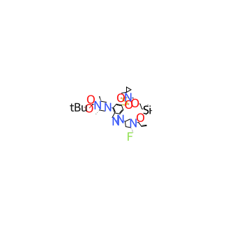 C=CC(=O)N1C[C@H](n2ncc3c(N4C[C@H](C)N(C(=O)OC(C)(C)C)[C@@H](C)C4)cc(S(=O)(=O)N(COCC[Si](C)(C)C)C4(C)CC4)cc32)C[C@H]1CF